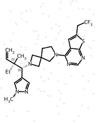 C=C[C@](C)(CC)[C@@H](c1cnn(C)c1)N1CC2(CCN(c3ncnc4sc(CC(F)(F)F)cc34)C2)C1